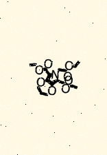 CCOC(=O)Cn1c(C(=O)OCC)c2c(c1C1OC(C)O1)OCCCO2